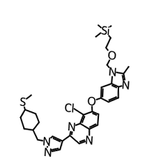 CSC1CCC(Cn2cc(-c3cnc4ccc(Oc5ccc6nc(C)n(COCC[Si](C)(C)C)c6c5)c(Cl)c4n3)cn2)CC1